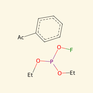 CC(=O)c1ccccc1.CCOP(OF)OCC